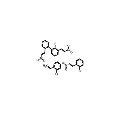 C=Cc1ccccc1Cl.O=[N+]([O-])C=Cc1ccccc1-c1cccc(C=C[N+](=O)[O-])c1F.O=[N+]([O-])C=Cc1ccccc1Br